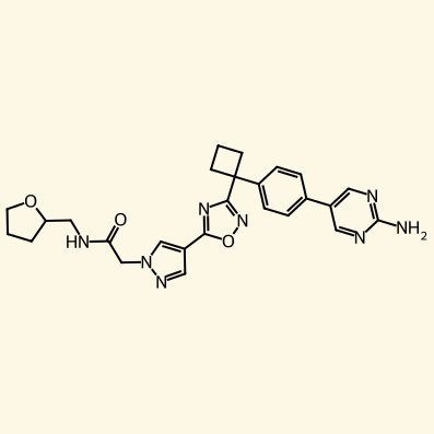 Nc1ncc(-c2ccc(C3(c4noc(-c5cnn(CC(=O)NCC6CCCO6)c5)n4)CCC3)cc2)cn1